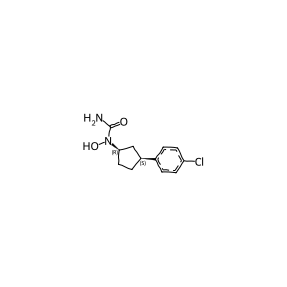 NC(=O)N(O)[C@@H]1CC[C@H](c2ccc(Cl)cc2)C1